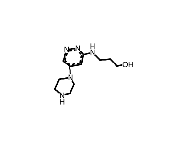 OCCCNc1cc(N2CCNCC2)cnn1